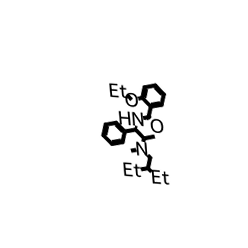 CCOc1ccccc1C(=O)N[C@H](c1ccccc1)C(C)N(C)CC(CC)CC